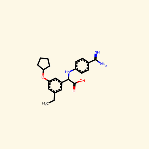 CCc1cc(OC2CCCC2)cc(C(Nc2ccc(C(=N)N)cc2)C(=O)O)c1